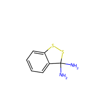 NC1(N)SSc2ccccc21